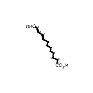 O=CC=CC=CCCCCCCCC(=O)O